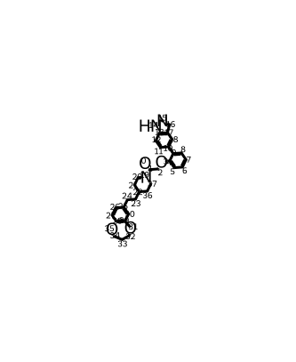 O=C(COc1ccccc1-c1ccc2[nH]ncc2c1)N1CCC(CCc2ccc3c(c2)OCCCO3)CC1